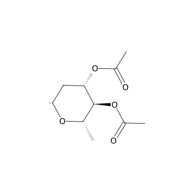 CC(=O)O[C@H]1[C@H](C)O[CH]C[C@@H]1OC(C)=O